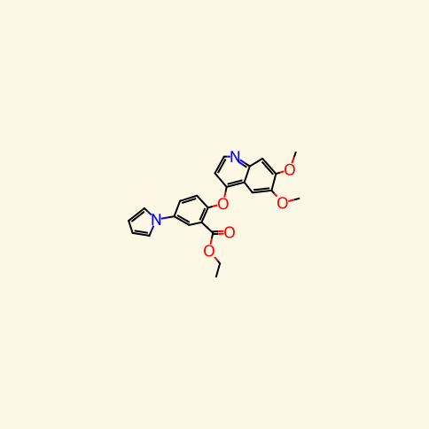 CCOC(=O)c1cc(-n2cccc2)ccc1Oc1ccnc2cc(OC)c(OC)cc12